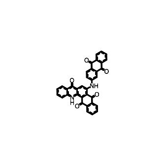 O=C1c2ccccc2C(=O)c2cc(Nc3cc4c(=O)c5ccccc5[nH]c4c4c3C(=O)c3ccccc3C4=O)ccc21